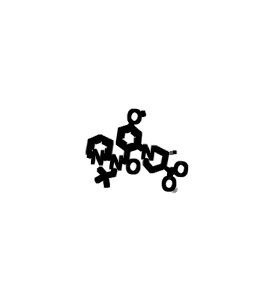 COC(=O)[C@H]1CCN(c2cc(OC)ccc2C(=O)N(CC(C)(C)C)c2ccccn2)C[C@@H]1C